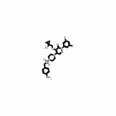 CCC1(COc2c(N3CCN(S(=O)(=O)Cc4ccc(N)cc4)CC3)cnn(-c3cc(F)cc(F)c3)c2=O)CC1